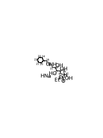 CCOP(=O)(O)C(F)(F)C[C@@H](O)[C@@H](O)[C@@H](O)CNOCc1ccccc1.[NaH]